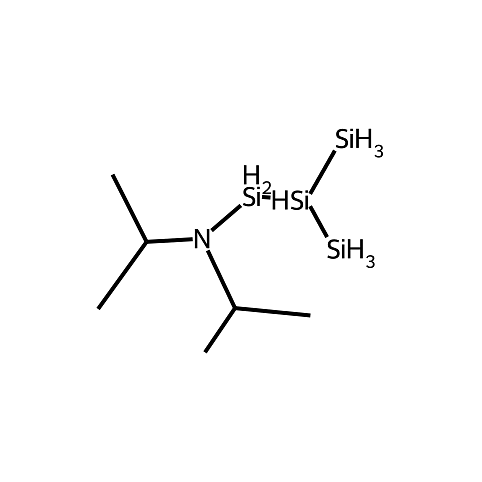 CC(C)N([SiH2][SiH]([SiH3])[SiH3])C(C)C